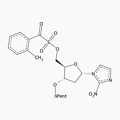 CCCCCO[C@H]1C[C@@H](n2ccnc2[N+](=O)[O-])O[C@@H]1COS(=O)(=O)C(=O)c1ccccc1C